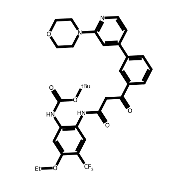 CCOc1cc(NC(=O)OC(C)(C)C)c(NC(=O)CC(=O)c2cccc(-c3ccnc(N4CCOCC4)c3)c2)cc1C(F)(F)F